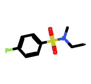 [CH2]CN(C)S(=O)(=O)c1ccc(F)cc1